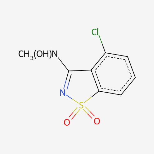 CN(O)C1=NS(=O)(=O)c2cccc(Cl)c21